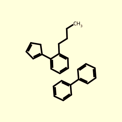 CCCCc1ccccc1C1=CC=CC1.c1ccc(-c2ccccc2)cc1